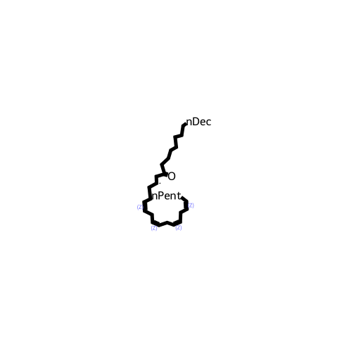 CCCCC/C=C\C/C=C\C/C=C\C/C=C\CC[CH]CC(=O)CCCCCCCCCCCCCCCCC